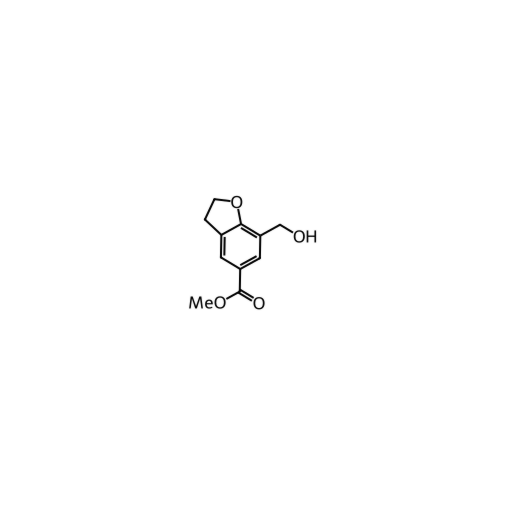 COC(=O)c1cc(CO)c2c(c1)CCO2